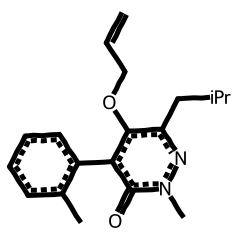 C=CCOc1c(CC(C)C)nn(C)c(=O)c1-c1ccccc1C